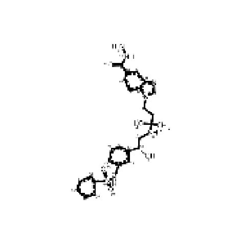 CC(C)(CCn1cnc2cc(C(=O)NN)ccc21)NC[C@H](O)c1cccc(NS(=O)(=O)c2ccccc2)c1